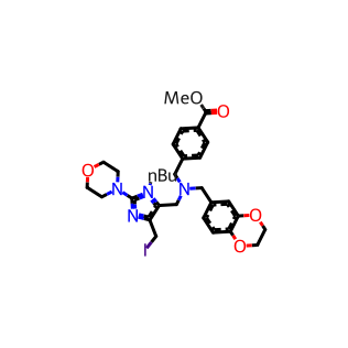 CCCCn1c(N2CCOCC2)nc(CI)c1CN(Cc1ccc(C(=O)OC)cc1)Cc1ccc2c(c1)OCCO2